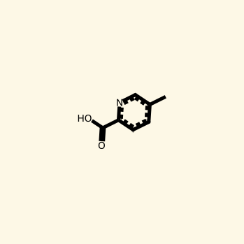 Cc1c[c]c(C(=O)O)nc1